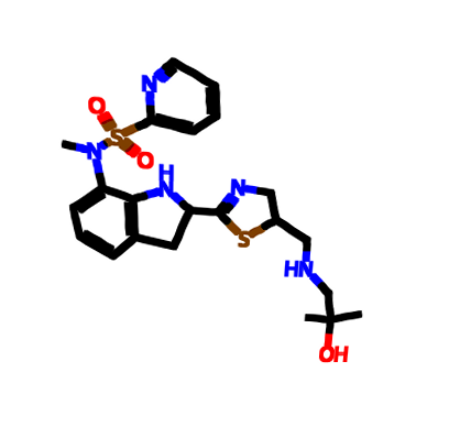 CN(c1cccc2c1NC(C1=NCC(CNCC(C)(C)O)S1)C2)S(=O)(=O)c1ccccn1